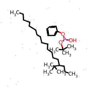 CC(C)(C)OP(O)Oc1ccccc1.CCCCCCCCCCCCCCC(CCC)C(C)(C)C